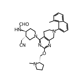 Cc1cccc2cccc(N3CCc4c(nc(OC[C@@H]5CCCN5C)nc4N4CC[C@H](NC=O)[C@@H](CC#N)C4)C3)c12